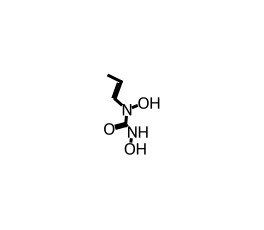 CC=CN(O)C(=O)NO